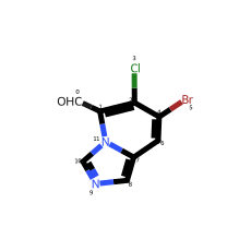 O=Cc1c(Cl)c(Br)cc2cncn12